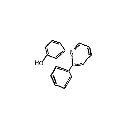 Oc1ccccc1.c1ccc(-c2ccccn2)cc1